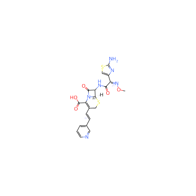 CO/N=C(\C(=O)NC1C(=O)N2C(C(=O)O)=C(/C=C/c3cccnc3)CS[C@H]12)c1csc(N)n1